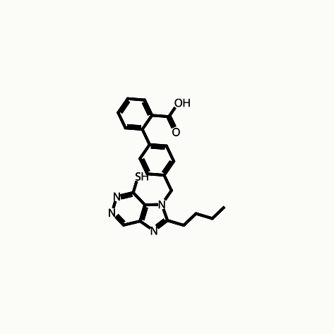 CCCCc1nc2cnnc(S)c2n1Cc1ccc(-c2ccccc2C(=O)O)cc1